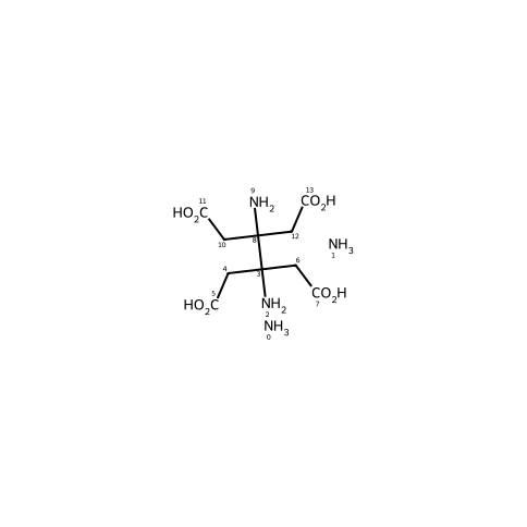 N.N.NC(CC(=O)O)(CC(=O)O)C(N)(CC(=O)O)CC(=O)O